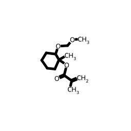 C=C(C)C(=O)OC1(C)CCCCC1OCOC